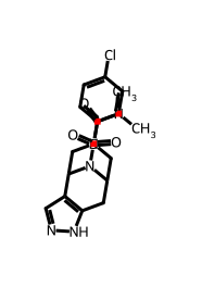 CN(C)C(=O)N1CC2Cc3[nH]ncc3C(C1)N2S(=O)(=O)c1ccc(Cl)cc1